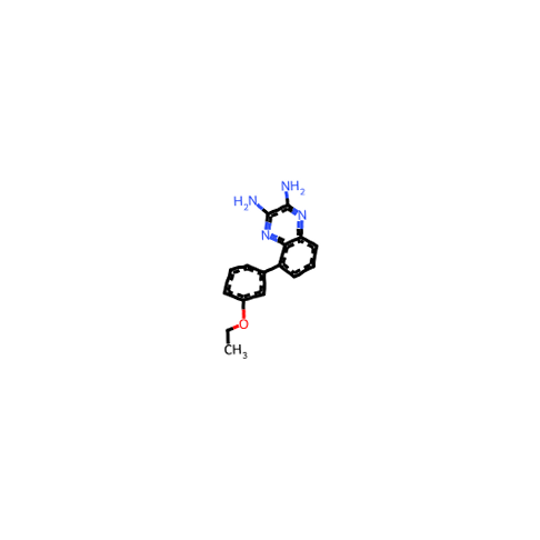 CCOc1cccc(-c2cccc3nc(N)c(N)nc23)c1